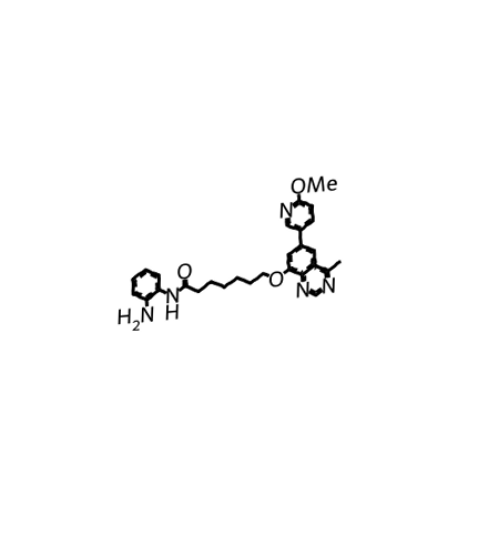 COc1ccc(-c2cc(OCCCCCCC(=O)Nc3ccccc3N)c3ncnc(C)c3c2)cn1